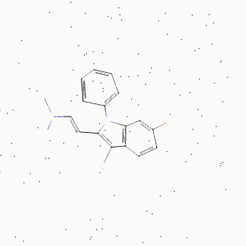 CN(C)C=Cc1c([N+](=O)[O-])c2ccc(O)cc2n1-c1ccccc1